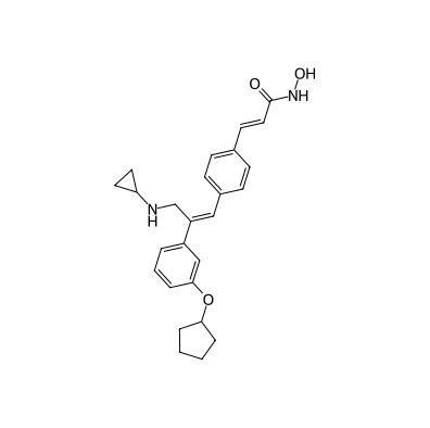 O=C(C=Cc1ccc(C=C(CNC2CC2)c2cccc(OC3CCCC3)c2)cc1)NO